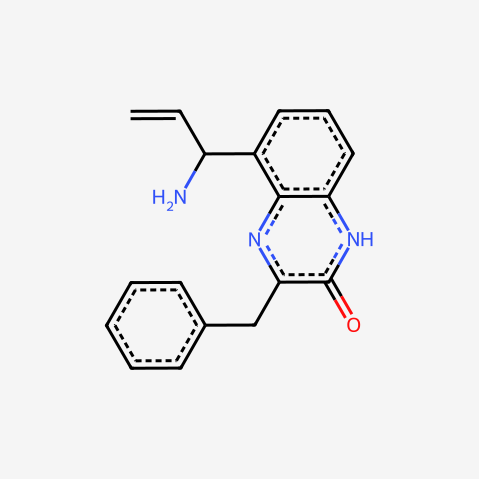 C=CC(N)c1cccc2[nH]c(=O)c(Cc3ccccc3)nc12